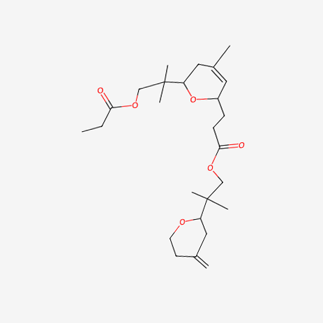 C=C1CCOC(C(C)(C)COC(=O)CCC2C=C(C)CC(C(C)(C)COC(=O)CC)O2)C1